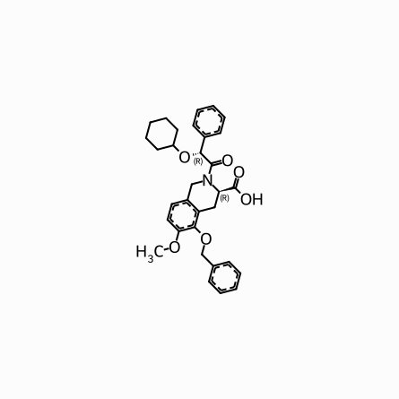 COc1ccc2c(c1OCc1ccccc1)C[C@H](C(=O)O)N(C(=O)[C@H](OC1CCCCC1)c1ccccc1)C2